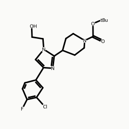 CC(C)(C)OC(=O)N1CCC(c2nc(-c3ccc(F)c(Cl)c3)cn2CCO)CC1